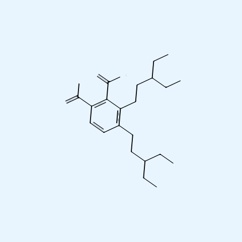 CCC(CC)CCc1ccc(C(=O)O)c(C(=O)O)c1CCC(CC)CC